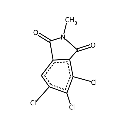 CN1C(=O)c2cc(Cl)c(Cl)c(Cl)c2C1=O